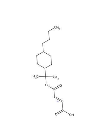 CCCCC1CCC(C(C)(C)OC(=O)/C=C/C(=O)O)CC1